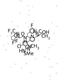 CSNc1nn(C)c2c(-c3ccc(C#CC(C)(C)O)nc3C(Cc3cc(F)cc(F)c3)NC(=O)Cn3nc(C(F)(F)F)c4c3C(F)(F)CC4)ccc(Cl)c12